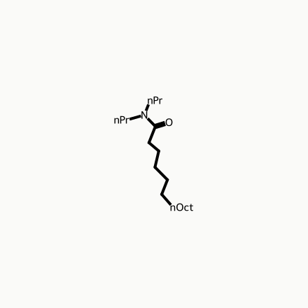 CCCCCCCCCCCCCC(=O)N(CCC)CCC